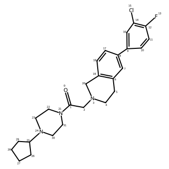 O=C(CN1CCc2cc(-c3ccc(F)c(Cl)c3)ccc2C1)N1CCN(C2CCCC2)CC1